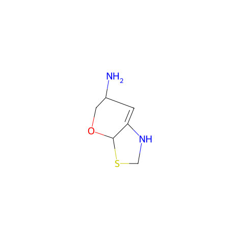 NC1C=C2NCSC2OC1